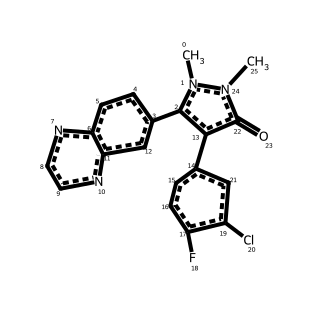 Cn1c(-c2ccc3nccnc3c2)c(-c2ccc(F)c(Cl)c2)c(=O)n1C